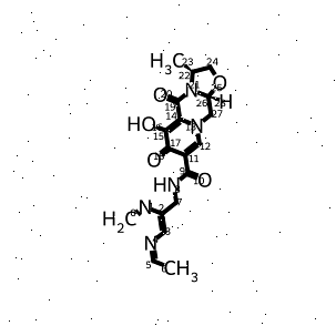 C=N/C(=C\N=C/C)CNC(=O)c1cn2c(c(O)c1=O)C(=O)N1[C@@H](C)CO[C@@H]1C2